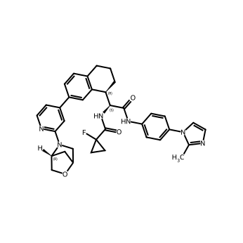 Cc1nccn1-c1ccc(NC(=O)[C@@H](NC(=O)C2(F)CC2)[C@@H]2CCCc3ccc(-c4ccnc(N5CC6C[C@@H]5CO6)c4)cc32)cc1